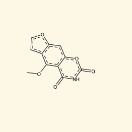 COc1c2ccoc2cc2oc(=O)[nH]c(=O)c12